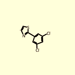 Clc1cc(Cl)cc(-c2n[c]cs2)c1